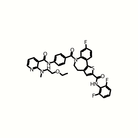 CCOCCN(C)c1ncccc1C(=O)Nc1ccc(C(=O)N2CCc3cc(C(=O)Nc4c(F)cccc4F)sc3-c3ccc(F)cc32)cc1